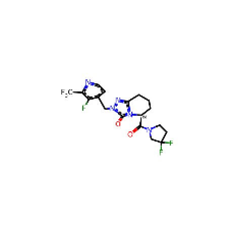 O=C([C@@H]1CCCc2nn(Cc3ccnc(C(F)(F)F)c3F)c(=O)n21)N1CCC(F)(F)C1